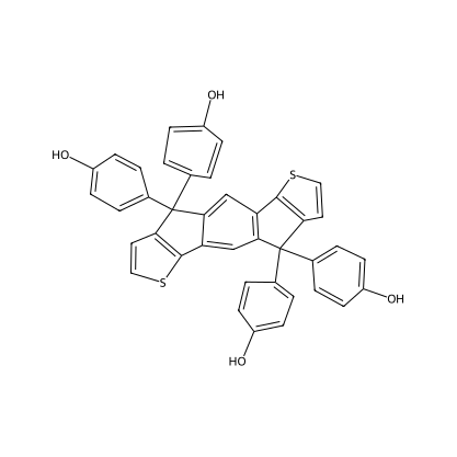 Oc1ccc(C2(c3ccc(O)cc3)c3cc4c(cc3-c3sccc32)C(c2ccc(O)cc2)(c2ccc(O)cc2)c2ccsc2-4)cc1